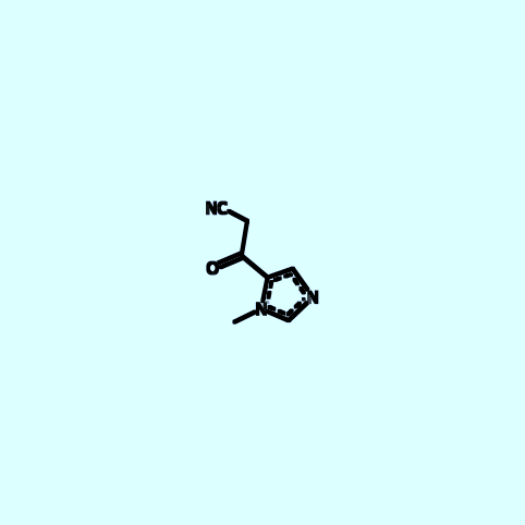 Cn1cncc1C(=O)CC#N